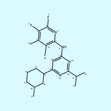 Cc1c(F)c(F)nc(Nc2cc(C3CCCN(C)C3)nc(C(C)C)n2)c1F